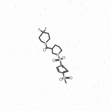 CS(=O)(=O)c1ccc(S(=O)(=O)N2CCCC(C(=O)N3CCC(F)(F)CC3)C2)cc1